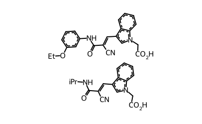 CC(C)NC(=O)/C(C#N)=C/c1cn(CC(=O)O)c2ccccc12.CCOc1cccc(NC(=O)/C(C#N)=C/c2cn(CC(=O)O)c3ccccc23)c1